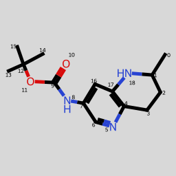 CC1CCc2ncc(NC(=O)OC(C)(C)C)cc2N1